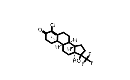 C[C@]12CCC(=O)C(Cl)=C1CC[C@@H]1[C@H]2CC[C@@]2(C)[C@H]1CCC2(O)C(F)(F)F